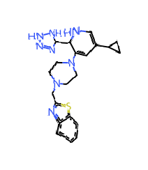 C1=C(C2CC2)C=C(N2CCN(Cc3nc4ccccc4s3)CC2)C(C2N=NNN2)N1